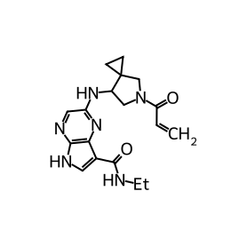 C=CC(=O)N1CC(Nc2cnc3[nH]cc(C(=O)NCC)c3n2)C2(CC2)C1